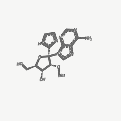 CCCCO[C@@H]1[C@H](O)[C@@H](CO)O[C@@]1(c1ncc[nH]1)n1cnc2c(N)ncnc21